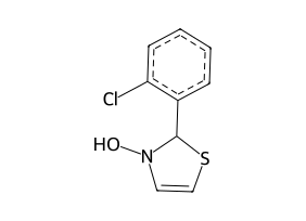 ON1C=CSC1c1ccccc1Cl